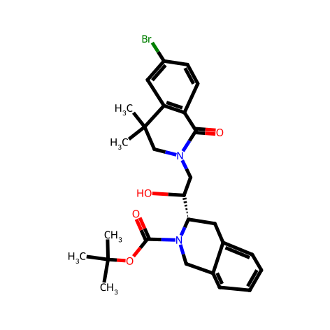 CC(C)(C)OC(=O)N1Cc2ccccc2C[C@H]1C(O)CN1CC(C)(C)c2cc(Br)ccc2C1=O